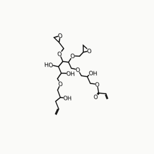 C=CCC(O)COCC(O)C(O)C(OCC1CO1)C(COCC(O)COC(=O)C=C)OCC1CO1